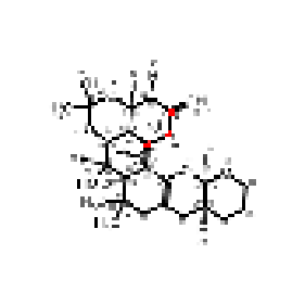 C=C1CC(=O)[C@@]23[C@@H]4OC(C)(C)O[C@]25OC[C@]2(C6=C(C[C@H]7CCCO[C@H]7O6)CC(C)(C)[C@H]2[C@@H]5O)[C@@H]3CC[C@@H]14